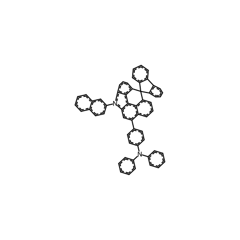 c1ccc(N(c2ccccc2)c2ccc(-c3cc4c5c6c(cccc36)C3(c6ccccc6-c6ccccc63)c3cccc(c35)n4-c3ccc4ccccc4c3)cc2)cc1